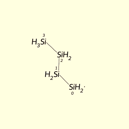 [SiH2][SiH2][SiH2][SiH3]